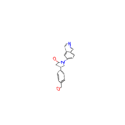 O=Cc1ccc(C2CC(=O)N(c3ccc4cnccc4c3)C2)cc1